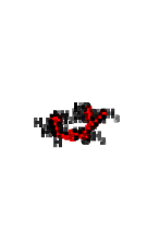 CCCCCCN(CCCN[C@@H](CCc1ccc(CCCCNC(=N)NC(=O)c2nc(Cl)c(N)nc2N)cc1)C(N)=O)C[C@H](O)C(O)[C@H](O)[C@H](O)CO